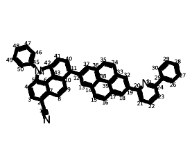 N#Cc1ccc2c3c1ccc1c(-c4cc5ccc6cc(-c7cccc(-c8ccccc8)n7)cc7ccc(c4)c5c67)ccc(c13)n2-c1ccccc1